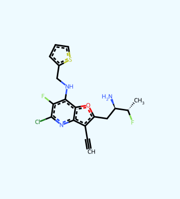 C#Cc1c(C[C@@H](N)[C@H](C)F)oc2c(NCc3cccs3)c(F)c(Cl)nc12